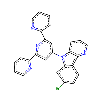 Brc1ccc2c3ncccc3n(-c3cc(-c4ccccn4)nc(-c4ccccn4)c3)c2c1